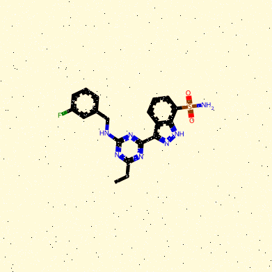 CCc1nc(NCc2cccc(F)c2)nc(-c2n[nH]c3c(S(N)(=O)=O)cccc23)n1